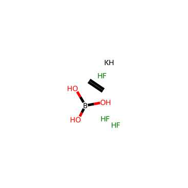 C=C.F.F.F.OB(O)O.[KH]